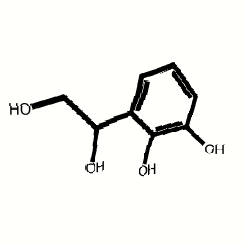 OCC(O)c1cccc(O)c1O